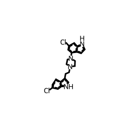 Clc1ccc2c(CCN3CCN(c4cc(Cl)cc5[nH]ccc45)CC3)c[nH]c2c1